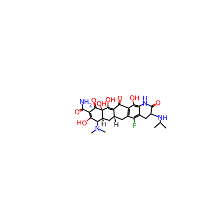 CC(C)NC1Cc2c(F)c3c(c(O)c2NC1=O)C(=O)C1=C(O)[C@@]2(O)C(=O)C(C(N)=O)=C(O)[C@H](N(C)C)[C@H]2C[C@H]1C3